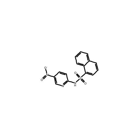 O=[N+]([O-])c1ccc(NS(=O)(=O)c2cccc3ccccc23)nc1